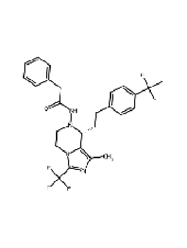 Cc1nc(C(F)(F)F)n2c1[C@@H](CCc1ccc(C(F)(F)F)cc1)N(NC(=O)Cc1ccccc1)CC2